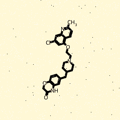 Cc1ccc2c(OCCN3CCC(Cc4ccc5c(c4)NC(=O)CO5)CC3)cc(Cl)cc2n1